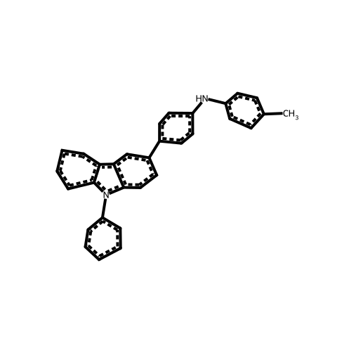 Cc1ccc(Nc2ccc(-c3ccc4c(c3)c3ccccc3n4-c3ccccc3)cc2)cc1